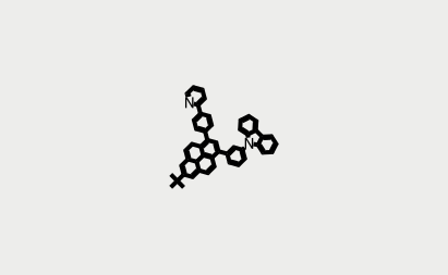 CC(C)(C)C1=CC2=CCc3c(-c4ccc(-c5ccccn5)cc4)cc(-c4cccc(-n5c6ccccc6c6ccccc65)c4)c4c3C2C(=C1)C=C4